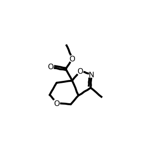 COC(=O)C12CCOCC1C(C)=NO2